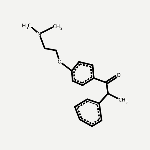 CC(C(=O)c1ccc(OCCN(C)C)cc1)c1ccccc1